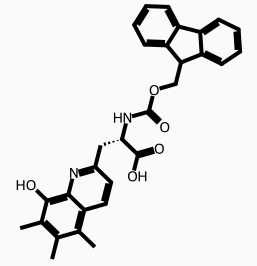 Cc1c(C)c(O)c2nc(C[C@H](NC(=O)OCC3c4ccccc4-c4ccccc43)C(=O)O)ccc2c1C